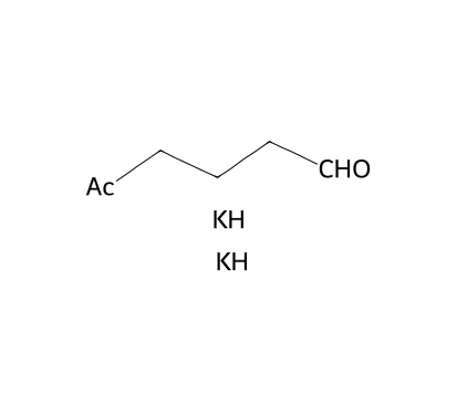 CC(=O)CCCC=O.[KH].[KH]